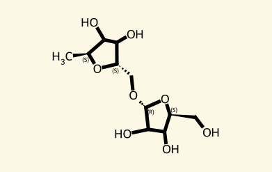 C[C@@H]1O[C@@H](CO[C@@H]2O[C@@H](CO)C(O)C2O)C(O)C1O